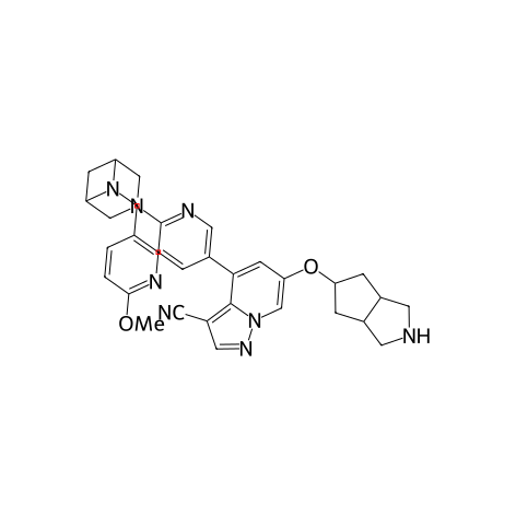 COc1ccc(CN2C3CC2CN(c2ccc(-c4cc(OC5CC6CNCC6C5)cn5ncc(C#N)c45)cn2)C3)cn1